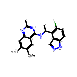 COc1cc2nc(C)nc(NC(C)c3c(F)ccc4[nH]ncc34)c2cc1OC